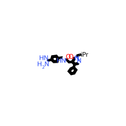 CC(C)Cn1ncc(-c2ccccc2)c(CC(=O)NCc2ccc(C(=N)N)cc2)c1=O